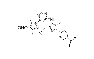 Cc1nn(-c2cc(Nc3c(C)c(-c4ccc(C(F)F)cc4)nn3CC3CC3)ncn2)c(C)c1C=O